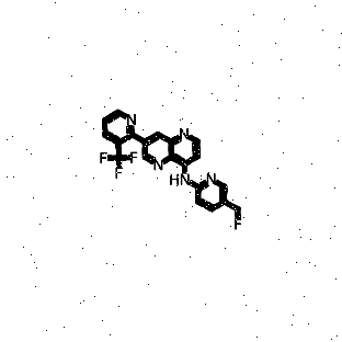 FCc1ccc(Nc2ccnc3cc(-c4ncccc4C(F)(F)F)cnc23)nc1